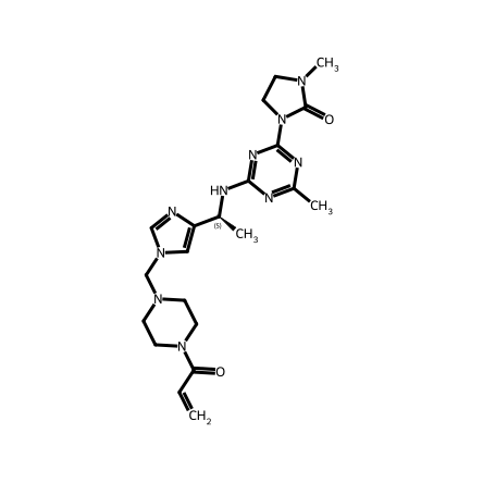 C=CC(=O)N1CCN(Cn2cnc([C@H](C)Nc3nc(C)nc(N4CCN(C)C4=O)n3)c2)CC1